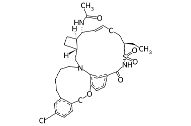 CC[C@@H]1CC/C=C/[C@@H](NC(C)=O)[C@@H]2CC[C@H]2CN2CCCCc3cc(Cl)ccc3COc3ccc(cc32)C(=O)NS1(=O)=O